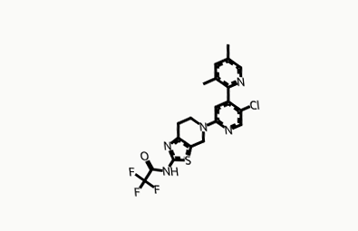 Cc1cnc(-c2cc(N3CCc4nc(NC(=O)C(F)(F)F)sc4C3)ncc2Cl)c(C)c1